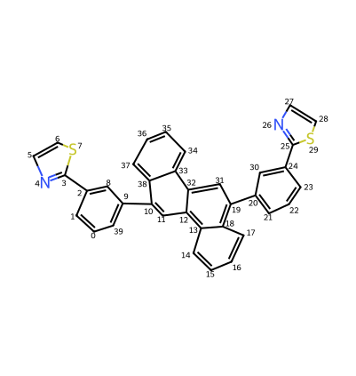 c1cc(-c2nccs2)cc(-c2cc3c4ccccc4c(-c4cccc(-c5nccs5)c4)cc3c3ccccc23)c1